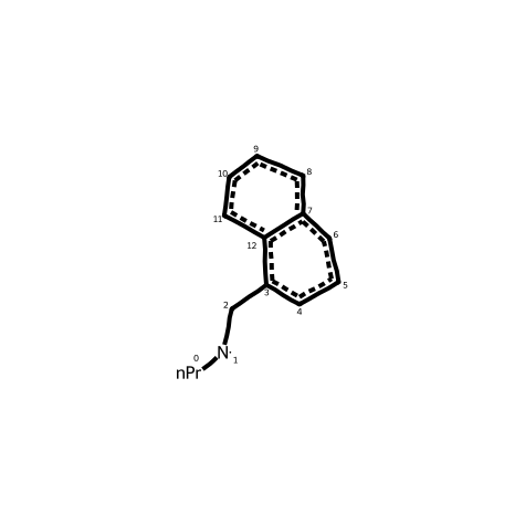 CCC[N]Cc1cccc2ccccc12